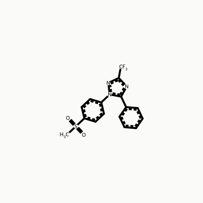 CS(=O)(=O)c1ccc(-n2nc(C(F)(F)F)nc2-c2ccccc2)cc1